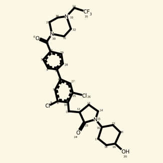 O=C(c1ccc(-c2cc(Cl)c(CC3CCN(C4CCC(O)CC4)C3=O)c(Cl)c2)cc1)N1CCN(CC(F)(F)F)CC1